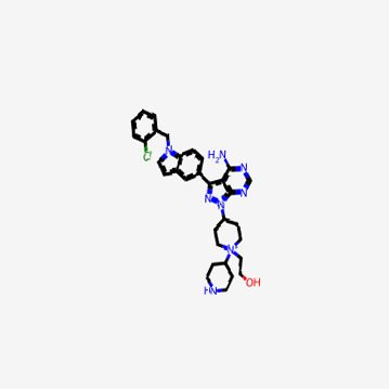 Nc1ncnc2c1c(-c1ccc3c(ccn3Cc3ccccc3Cl)c1)nn2C1CC[N+](CCO)(C2CCNCC2)CC1